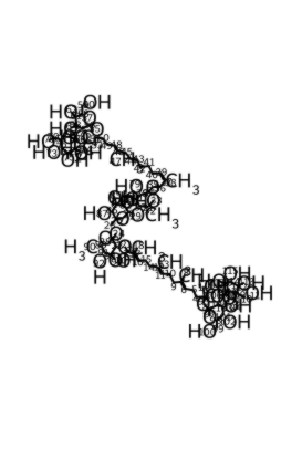 C=CC(C)(CC/C=C(\C)CC/C=C(\C)CC/C=C(\C)C(=O)OC1C(OCC2OC(OC3C(C)OC(OC/C(C)=C\CCCCCC/C(C)=C/CCC(C)(C=C)OC4OC(CO)C(O)C(O)C4OC4OC(CO)C(O)C(O)C4O)C(O)C3O)C(O)C(O)C2O)OC(C)C(O)C1O)OC1OC(CO)C(O)C(O)C1OC1OC(CO)C(O)C(O)C1O